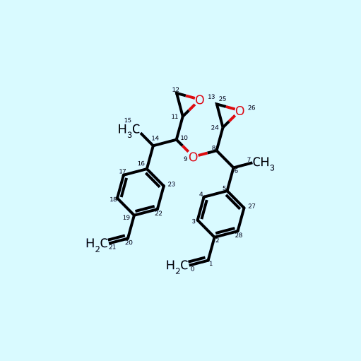 C=Cc1ccc(C(C)C(OC(C2CO2)C(C)c2ccc(C=C)cc2)C2CO2)cc1